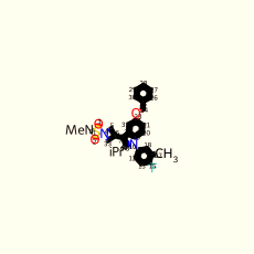 CNS(=O)(=O)N1CC(c2c(C(C)C)n(-c3ccc(F)c(C)c3)c3ccc(OCc4ccccc4)cc23)C1